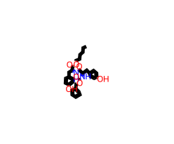 CCCCCCOC(=O)C(Cc1ccc(O)cc1)NC(=O)C(Cc1ccc(O)cc1)NC(=O)OCc1ccccc1